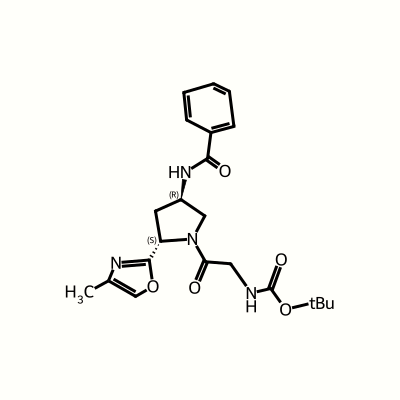 Cc1coc([C@@H]2C[C@@H](NC(=O)c3ccccc3)CN2C(=O)CNC(=O)OC(C)(C)C)n1